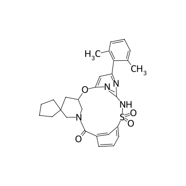 Cc1cccc(C)c1-c1cc2nc(n1)NS(=O)(=O)c1cccc(c1)C(=O)N1CC(CC3(CCCC3)C1)O2